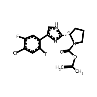 C=C(C)OC(=O)N1CCC[C@H]1c1nc(-c2cc(F)c(Cl)cc2F)c[nH]1